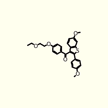 CCOCCOc1ccc(C(=O)c2c(-c3ccc(OC)cc3)sc3cc(OC)ccc23)cc1